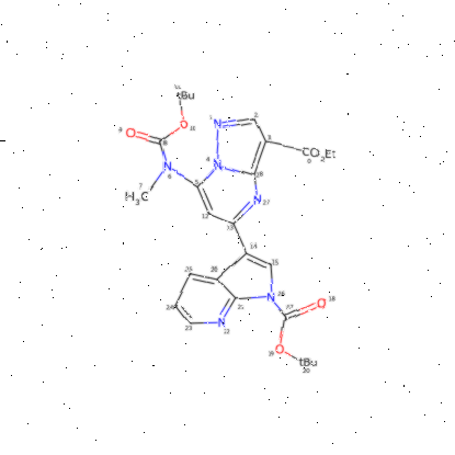 CCOC(=O)c1cnn2c(N(C)C(=O)OC(C)(C)C)cc(-c3cn(C(=O)OC(C)(C)C)c4ncccc34)nc12